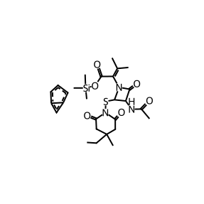 CCC1(C)CC(=O)N(SC2C(NC(C)=O)C(=O)N2C(C(=O)O[Si](C)(C)C)=C(C)C)C(=O)C1.c1cc2cc-2c1